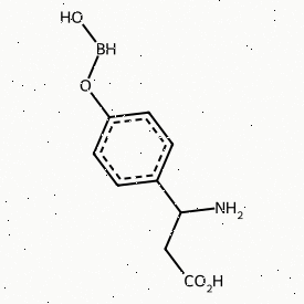 NC(CC(=O)O)c1ccc(OBO)cc1